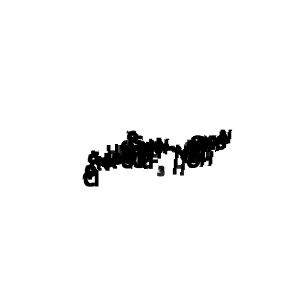 CCCC[C@@H](CC(NCCCCCN1CCN(CCC(CSc2ccccc2)Nc2ccc(S(=O)(=O)NC(=O)c3ccc(N4CCN(CC5=C(c6ccc(Cl)cc6)CCC(C)(C)C5)CC4)cc3)cc2S(=O)(=O)C(F)(F)F)CC1)C(C)(C)C)N1C[C@H](O)C[C@H]1C(=O)NCc1ccc(-c2scnc2C)cc1